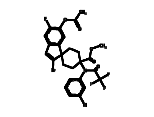 COC(=O)C1(N(C(=O)C(F)(F)F)c2cccc(Cl)c2)CCC2(CC1)C(Br)=Cc1cc(F)c(OC(C)=O)cc12